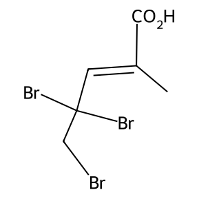 C/C(=C\C(Br)(Br)CBr)C(=O)O